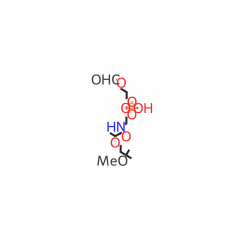 COC(C)(C)CCOC(C)C(=O)NCCOP(=O)(O)OCCCOC=O